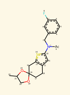 CC(=O)N(Cc1cccc(F)c1)c1cc2c(s1)CC1(CC2)OCC(C)O1